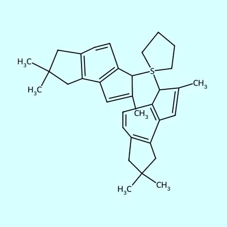 CC1=Cc2c(ccc3c2CC(C)(C)C3)C1S1(C2C(C)=Cc3c2ccc2c3CC(C)(C)C2)CCCC1